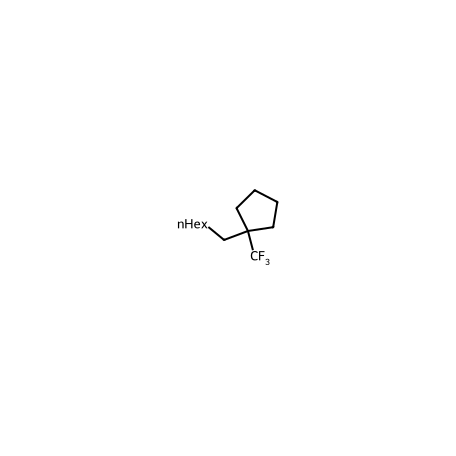 CCCCCCCC1(C(F)(F)F)CCCC1